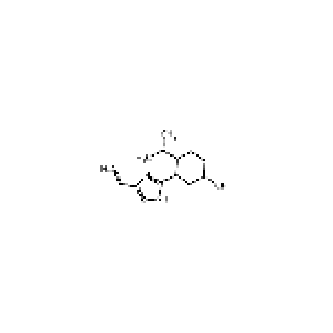 C=Cc1c[nH]c(C2CC(C)CCC2C(C)C)n1